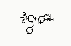 CS(=O)(=O)N1CCN(c2cc3cn[nH]c3cn2)[C@H](Cc2ccccc2)C1